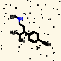 C#Cc1ccc(/C(=C/CNC)C(C)C)cc1